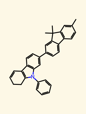 Cc1ccc2c(c1)C(C)(C)c1cc(-c3ccc4c5c(n(-c6ccccc6)c4c3)CCC=C5)ccc1-2